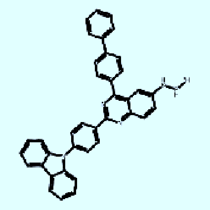 [3H]PBc1ccc2nc(-c3ccc(-n4c5ccccc5c5ccccc54)cc3)nc(-c3ccc(-c4ccccc4)cc3)c2c1